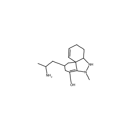 CC(N)CC1CC(O)=C2N(C)NC3CCC=CC23C1